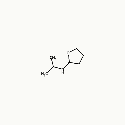 CC(C)N[C]1CCCO1